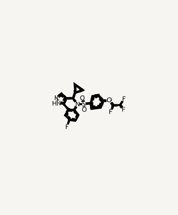 O=S(=O)(c1ccc(OC(F)C(F)F)cc1)N1c2ccc(F)cc2-c2[nH]ncc2C1C1CC1